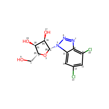 OC[C@H]1O[C@@H](n2nnc3c(Cl)cc(Cl)cc32)[C@H](O)[C@@H]1O